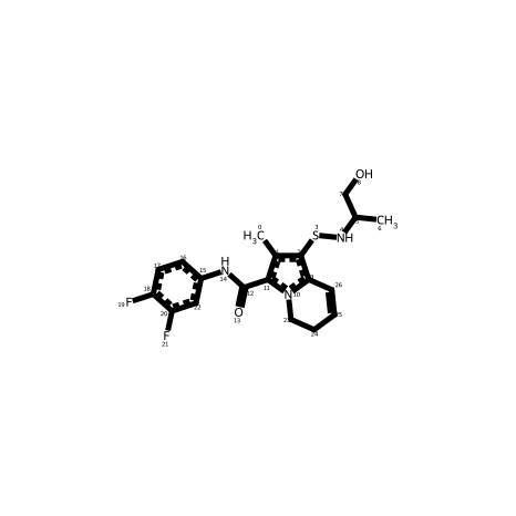 Cc1c(SNC(C)CO)c2n(c1C(=O)Nc1ccc(F)c(F)c1)CCC=C2